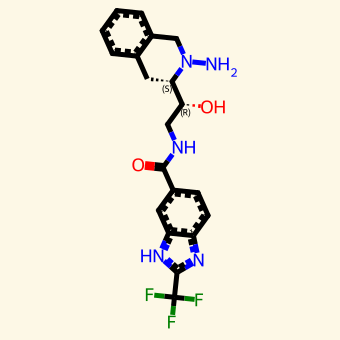 NN1Cc2ccccc2C[C@H]1[C@H](O)CNC(=O)c1ccc2nc(C(F)(F)F)[nH]c2c1